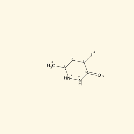 CC1CC(I)C(=O)NN1